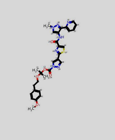 COc1ccc(CCOC(C)(C)OC(=O)n2cc(-c3nc(C(=O)Nc4cn(C)nc4-c4ccccn4)cs3)cn2)cc1